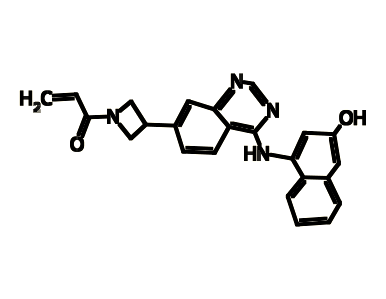 C=CC(=O)N1CC(c2ccc3c(Nc4cc(O)cc5ccccc45)ncnc3c2)C1